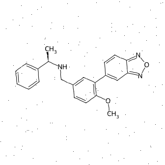 COc1ccc(CN[C@H](C)c2ccccc2)cc1-c1ccc2nonc2c1